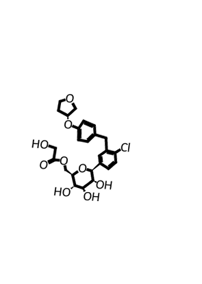 O=C(CO)OC[C@H]1O[C@@H](c2ccc(Cl)c(Cc3ccc(O[C@@H]4CCOC4)cc3)c2)[C@H](O)[C@@H](O)[C@@H]1O